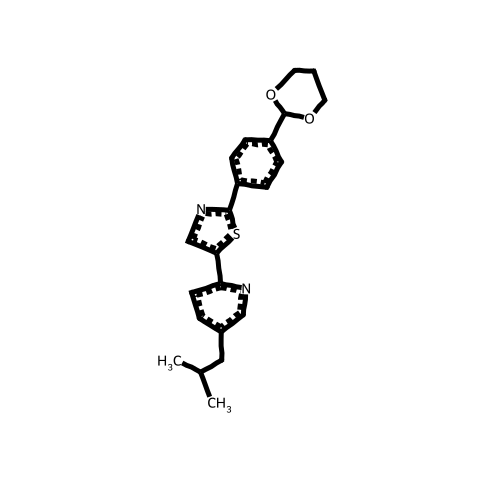 CC(C)Cc1ccc(-c2cnc(-c3ccc(C4OCCCO4)cc3)s2)nc1